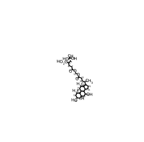 C=P(O)(O)CC(CCC(=O)OCOC(=O)CC[C@@H](C)C1CCC2C3C(CC[C@@]21C)[C@@]1(C)CC[C@@H](O)C[C@H]1C[C@@H]3O)C(=O)O